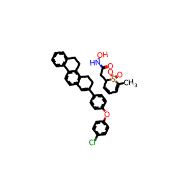 CC1=CC=CC(CC(=O)NO)S1(=O)=O.Clc1ccc(Oc2ccc(C3=Cc4ccc5c(c4CC3)CCc3ccccc3-5)cc2)cc1